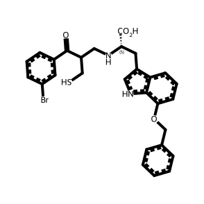 O=C(c1cccc(Br)c1)C(CS)CN[C@@H](Cc1c[nH]c2c(OCc3ccccc3)cccc12)C(=O)O